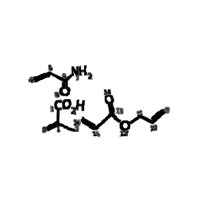 C=C(C)C(=O)O.C=CC(N)=O.C=CCOC(=O)C=C